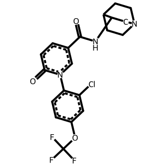 O=C(NC1CN2CCC1CC2)c1ccc(=O)n(-c2ccc(OC(F)(F)F)cc2Cl)c1